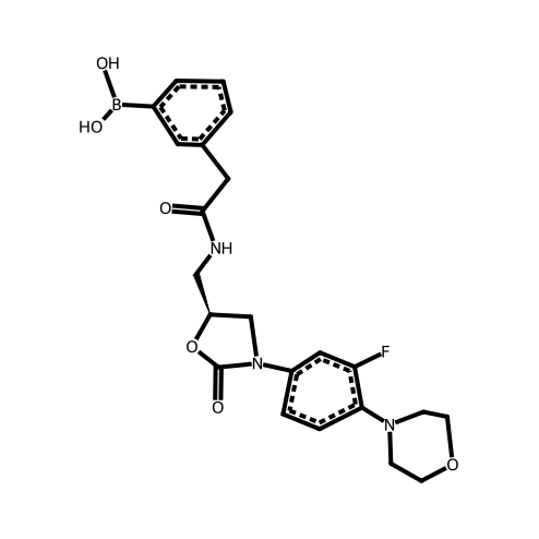 O=C(Cc1cccc(B(O)O)c1)NC[C@H]1CN(c2ccc(N3CCOCC3)c(F)c2)C(=O)O1